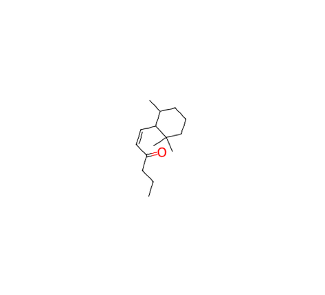 CCCC(=O)/C=C\C1C(C)CCCC1(C)C